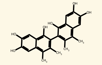 Cc1c(-c2c(C)c(C)c3cc(O)c(O)cc3c2O)c(O)c2cc(O)c(O)cc2c1C